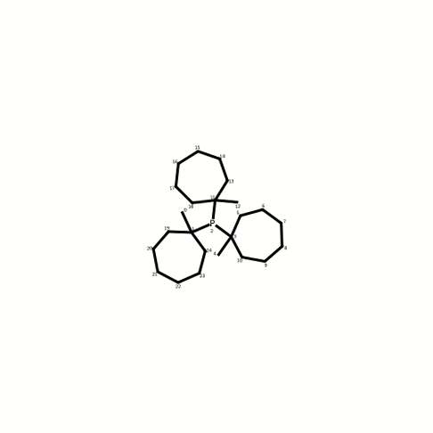 CC1(P(C2(C)CCCCCC2)C2(C)CCCCCC2)CCCCCC1